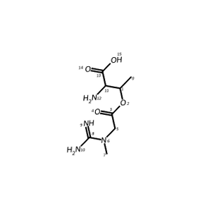 CC(OC(=O)CN(C)C(=N)N)C(N)C(=O)O